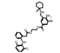 CC1(NCc2cc(C(=O)OCCOC(=O)Cc3ccccc3Nc3c(Cl)cccc3Cl)cc(Br)c2N)CCCCC1